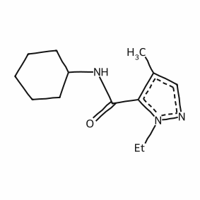 CCn1ncc(C)c1C(=O)NC1CCCCC1